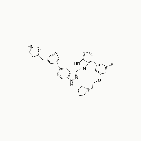 Fc1cc(OCCN2CCCC2)cc(-c2ccnc3[nH]c(-c4n[nH]c5cnc(-c6cncc(CC7CCNCC7)c6)cc45)nc23)c1